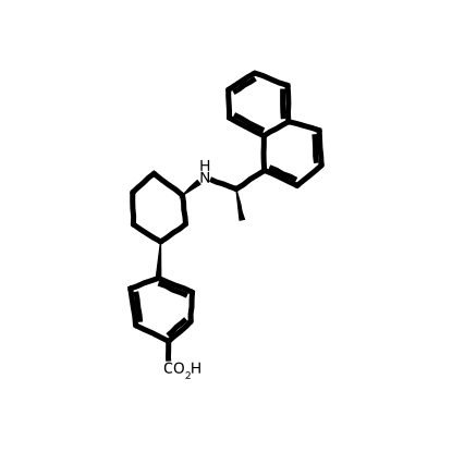 C[C@@H](N[C@@H]1CCC[C@H](c2ccc(C(=O)O)cc2)C1)c1cccc2ccccc12